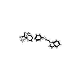 COC(=O)[C@]1(C)OC[C@H](c2ccc(OCCn3ccc4ccccc43)cc2)CO1